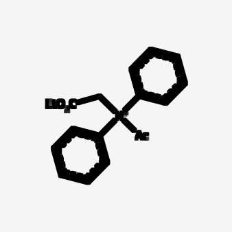 CCOC(=O)C[N+](C(C)=O)(c1ccccc1)c1ccccc1